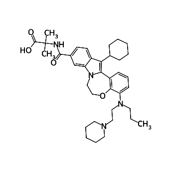 CCCN(CCN1CCCCC1)c1cccc2c1OCCn1c-2c(C2CCCCC2)c2ccc(C(=O)NC(C)(C)C(=O)O)cc21